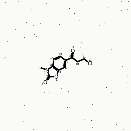 Cn1c(=O)oc2cc(C(=O)CCCl)ccc21